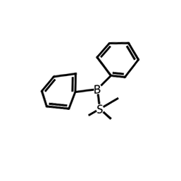 CS(C)(C)B(c1ccccc1)c1ccccc1